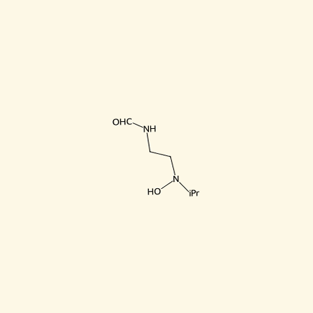 CC(C)N(O)CCNC=O